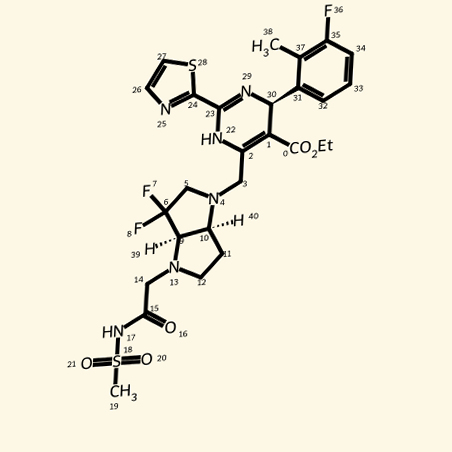 CCOC(=O)C1=C(CN2CC(F)(F)[C@H]3[C@@H]2CCN3CC(=O)NS(C)(=O)=O)NC(c2nccs2)=N[C@H]1c1cccc(F)c1C